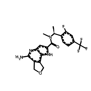 C[C@@H](c1ccc(C(F)(F)F)cc1F)N(C)C(=O)c1cc2nc(N)c3c(c2[nH]1)COC3